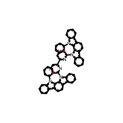 c1ccc(-n2c3ccccc3c3ccc4c5ccccc5n(-c5cncc(-c6cncc(-n7c8ccccc8c8ccc9c%10ccccc%10n(-c%10ccccc%10)c9c87)n6)n5)c4c32)cc1